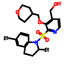 CCc1ccc2c(c1)CCC(CC)N2S(=O)(=O)c1nccc(CO)c1OCC1CCOCC1